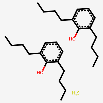 CCCCc1cccc(CCCC)c1O.CCCCc1cccc(CCCC)c1O.S